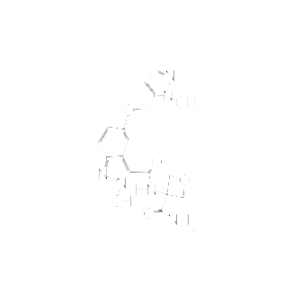 Cn1nccc1COc1ccc2nn(C)c(C(=O)NC3(C(N)=O)COC3)c2c1